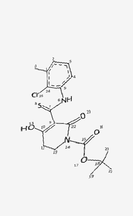 Cc1cccc(NC(=S)C2=C(O)CCN(C(=O)OC(C)(C)C)C2=O)c1Cl